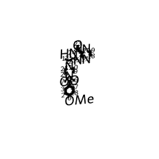 COc1ccc(S(=O)(=O)N2CCN(C(C)c3nc4nccnc4c(=O)[nH]3)CC2)cc1